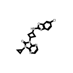 O=c1n(C2CC2)c2nccnc2n1C1CC(Nc2nc3ccc(Cl)cc3o2)C1